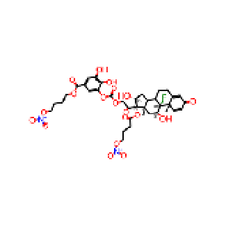 C[C@]12C=CC(=O)C=C1CCC1C3C[C@@H](O)[C@](OC(=O)CCCO[N+](=O)[O-])(C(=O)COC(=O)Oc4cc(C(=O)OCCCCO[N+](=O)[O-])cc(O)c4O)[C@@]3(C)C[C@H](O)[C@@]12F